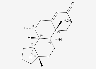 C[C@@H]1CC2=CC(=O)CC[C@]2(CO)[C@H]2CC[C@]3(C)CCC[C@H]3[C@H]12